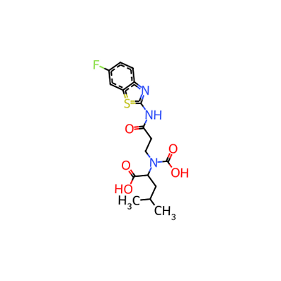 CC(C)CC(C(=O)O)N(CCC(=O)Nc1nc2ccc(F)cc2s1)C(=O)O